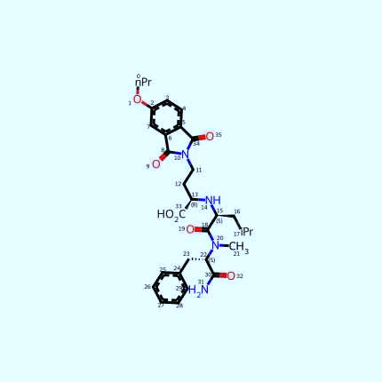 CCCOc1ccc2c(c1)C(=O)N(CC[C@@H](N[C@@H](CC(C)C)C(=O)N(C)[C@@H](Cc1ccccc1)C(N)=O)C(=O)O)C2=O